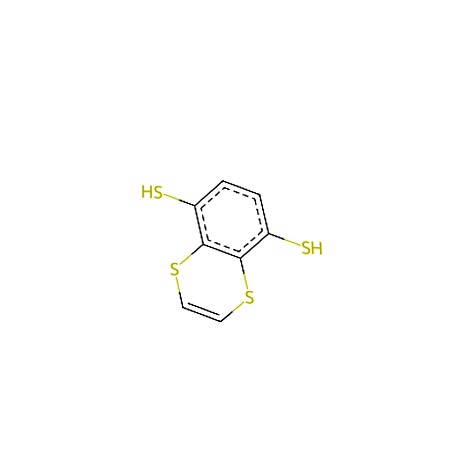 Sc1ccc(S)c2c1SC=CS2